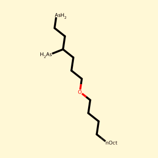 CCCCCCCCCCCCOCCCC([AsH2])CC[AsH2]